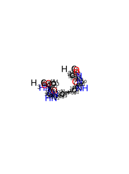 COO/C=N\[C@@H](C(=O)N1CCC[C@H]1c1cc2cc(C#Cc3ccc(-c4c[nH]c([C@@H]5CCCN5C(=O)[C@H](NC(=O)OC)c5ccccc5)n4)cc3)ccc2[nH]1)c1ccccc1